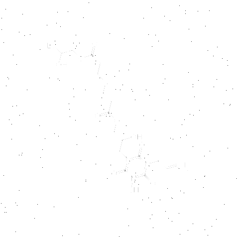 C=CCn1c(=O)n(C)c(=O)n(CC(O)COC(=O)CCSCCC(=O)OCC(O)CC)c1=O